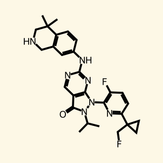 CC(C)n1c(=O)c2cnc(Nc3ccc4c(c3)CNCC4(C)C)nc2n1-c1nc(C2(CF)CC2)ccc1F